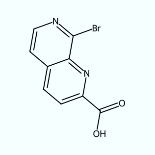 O=C(O)c1ccc2ccnc(Br)c2n1